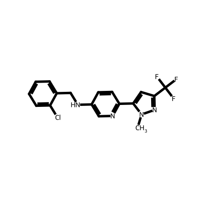 Cn1nc(C(F)(F)F)cc1-c1ccc(NCc2ccccc2Cl)cn1